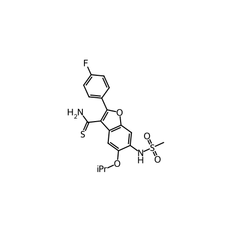 CC(C)Oc1cc2c(C(N)=S)c(-c3ccc(F)cc3)oc2cc1NS(C)(=O)=O